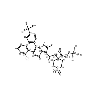 Cc1nn2c(-c3ccc(C(F)(F)F)cc3)c(-c3ccccc3Cl)cnc2c1C(=O)NC1(C(=O)NCC(F)(F)F)CCS(=O)(=O)CC1